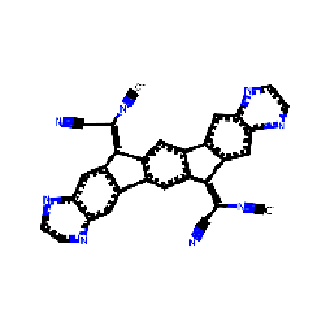 [C-]#[N+]/C(C#N)=C1/c2cc3c(cc2-c2cc4nccnc4cc21)/C(=C(/C#N)[N+]#[C-])c1cc2nccnc2cc1-3